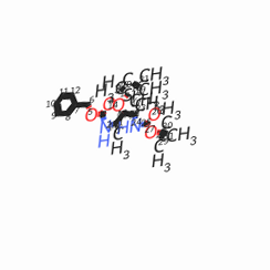 C[C@@H](NC(=O)OCc1ccccc1)[C@H](O[Si](C)(C)C(C)(C)C)[C@@H](C)NC(=O)OC(C)(C)C